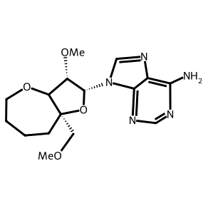 COC[C@]12CCCCOC1[C@H](OC)[C@H](n1cnc3c(N)ncnc31)O2